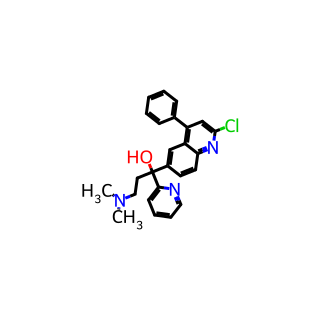 CN(C)CCC(O)(c1ccc2nc(Cl)cc(-c3ccccc3)c2c1)c1ccccn1